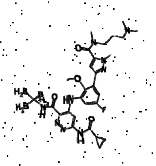 BC(B)(B)NC(=O)c1nnc(NC(=O)C2CC2)cc1Nc1cc(F)cc(-c2cc(C(=O)N(C)CCCN(C)C)n(C)n2)c1OC